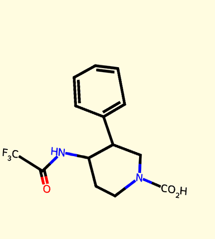 O=C(O)N1CCC(NC(=O)C(F)(F)F)C(c2ccccc2)C1